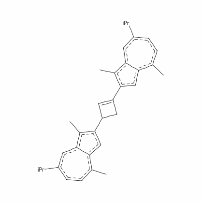 Cc1ccc(C(C)C)cc2c(C)c(C3=CC(c4cc5c(C)ccc(C(C)C)cc-5c4C)C3)cc1-2